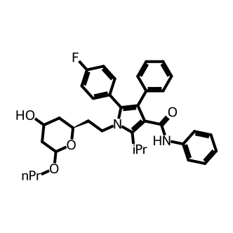 CCCOC1CC(O)C[C@@H](CCn2c(-c3ccc(F)cc3)c(-c3ccccc3)c(C(=O)Nc3ccccc3)c2C(C)C)O1